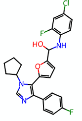 OC(Nc1ccc(Cl)cc1F)c1ccc(-c2c(-c3ccc(F)cc3)ncn2C2CCCC2)o1